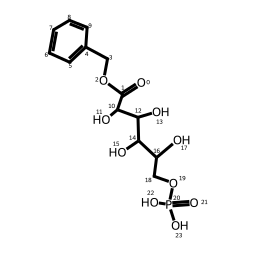 O=C(OCc1ccccc1)C(O)C(O)C(O)C(O)COP(=O)(O)O